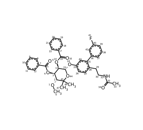 CO[C@@H]1[C@@H](OC(=O)c2ccccc2)[C@@H](OC(=O)c2ccccc2)[C@H](Oc2ccc(CCNC(C)=O)c(-c3cccc(F)c3)c2)OC1(C)C